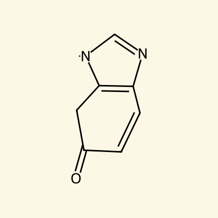 O=C1C=CC2=C(C1)[N]C=N2